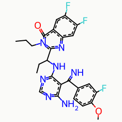 CCCn1c(C(CC)Nc2ncnc(N)c2C(=N)c2ccc(OC)c(F)c2)nc2cc(F)c(F)cc2c1=O